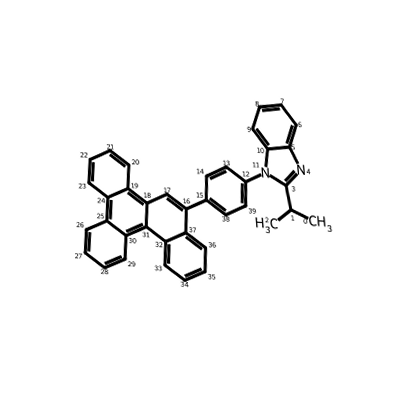 CC(C)c1nc2ccccc2n1-c1ccc(-c2cc3c4ccccc4c4ccccc4c3c3ccccc23)cc1